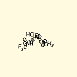 CCN(C(=O)Cc1ccc(S(C)(=O)=O)cc1)C1CCN(CCC(NC(=O)CC(F)(F)F)c2ccccc2)CC1.Cl